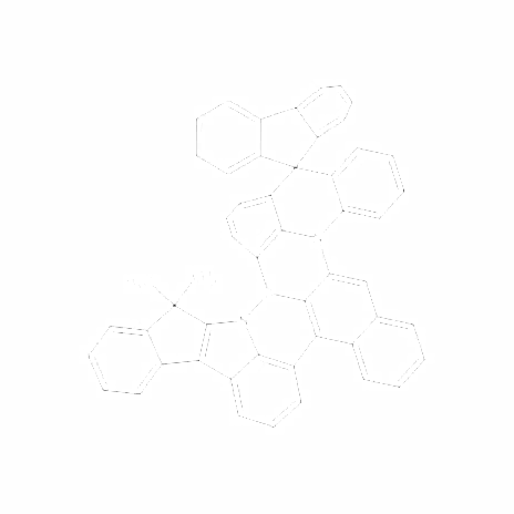 CC1(C)c2ccccc2-c2c1n1c3c(cccc23)-c2c3c(cc4ccccc24)N2c4ccccc4C4(c5ccccc5-c5ccccc54)c4cccc(c42)B31